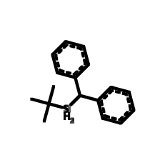 CC(C)(C)[SiH2]C(c1ccccc1)c1ccccc1